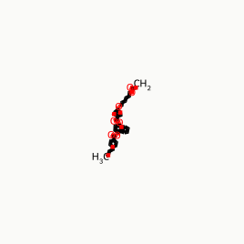 C=CC(=O)OCCCCCCOc1ccc(C(=O)Oc2ccc(OC(=O)C3CCC(CCCC)CC3)c3c2C2CCC3C2)cc1